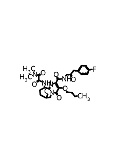 CCCCOc1c(C(=O)NCC(=O)Cc2ccc(F)cc2)nc2n(c1=O)CC1CCC2(NC(=O)C(=O)N(C)C)CC1